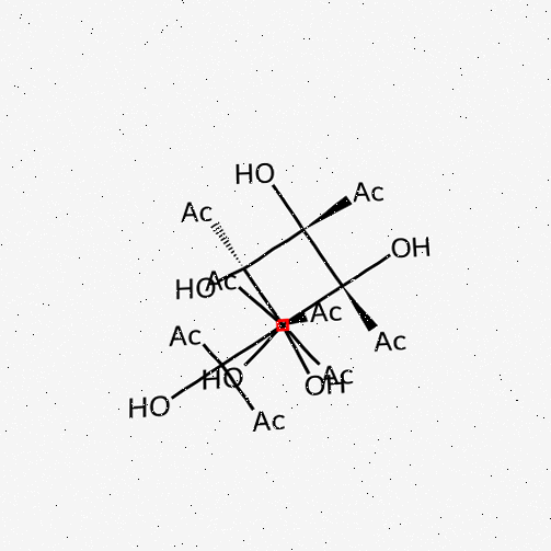 CC(=O)C(O)(C(C)=O)[C@](O)(C(C)=O)[C@](O)(C(C)=O)[C@@](O)(C(C)=O)[C@@](O)(C(C)=O)C(O)(C(C)=O)C(C)=O